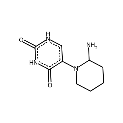 NC1CCCCN1c1c[nH]c(=O)[nH]c1=O